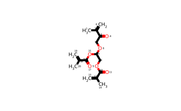 C=C(C)C(=O)COC(COC(=O)C(=C)C)OC(=O)C(=C)C